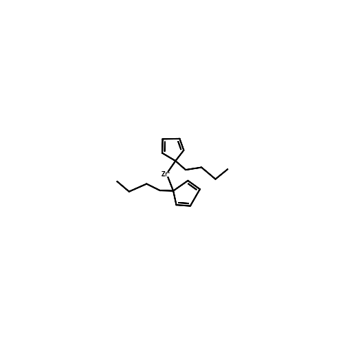 CCCC[C]1([Zr-][C]2(CCCC)C=CC=C2)C=CC=C1